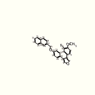 COc1ccc(-c2cocc2-c2ccc(OCc3ccc4ccccc4n3)cc2)cc1F